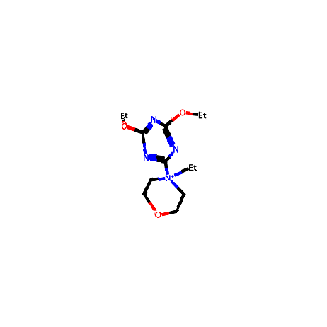 CCOc1nc(OCC)nc([N+]2(CC)CCOCC2)n1